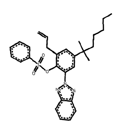 C=CCc1cc(C(C)(C)CCCCC)cc(-n2nc3ccccc3n2)c1OS(=O)(=O)c1ccccc1